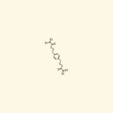 CCN(CC)C(=S)SSCc1ccc(CSSC(=S)N(CC)CC)cc1